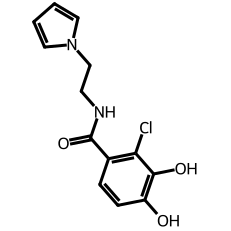 O=C(NCCn1cccc1)c1ccc(O)c(O)c1Cl